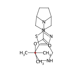 CC(C)(C)OC(=O)N1CC2CCC(C1)N2c1nc2c(s1)CCNC2